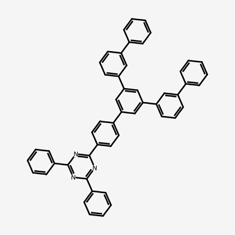 c1ccc(-c2cccc(-c3cc(-c4ccc(-c5nc(-c6ccccc6)nc(-c6ccccc6)n5)cc4)cc(-c4cccc(-c5ccccc5)c4)c3)c2)cc1